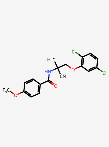 CC(C#N)(COc1cc(Cl)ccc1Cl)NC(=O)c1ccc(OC(F)(F)F)cc1